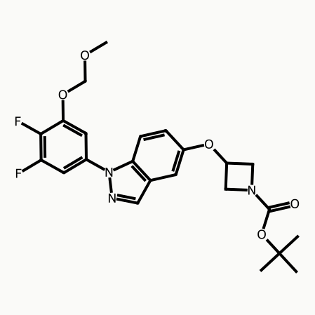 COCOc1cc(-n2ncc3cc(OC4CN(C(=O)OC(C)(C)C)C4)ccc32)cc(F)c1F